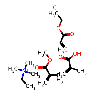 C=C(C)C(=O)O.C=C(C)C(=O)OC.C=CC(=O)OCC.CC[N+](C)(C)C.[Cl-]